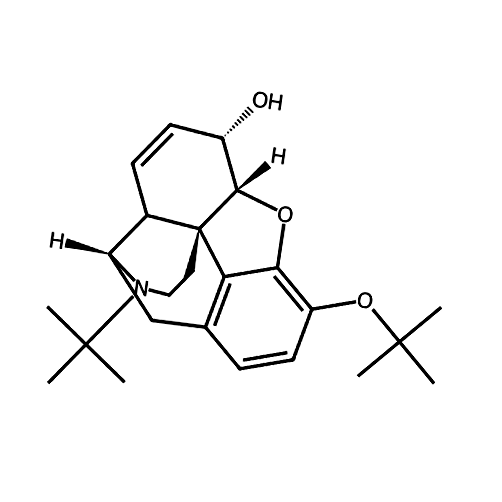 CC(C)(C)Oc1ccc2c3c1O[C@H]1[C@@H](O)C=CC4[C@@H](C2)N(C(C)(C)C)CC[C@@]341